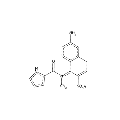 C[N+](C(=O)c1ccc[nH]1)=C1C(S(=O)(=O)O)=CCc2cc(N)ccc21